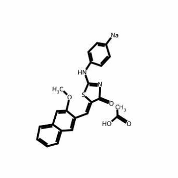 CC(=O)O.COc1cc2ccccc2cc1/C=C1\SC(Nc2cc[c]([Na])cc2)=NC1=O